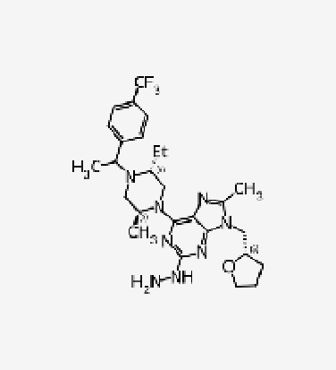 CC[C@@H]1CN(c2nc(NN)nc3c2nc(C)n3C[C@@H]2CCCO2)[C@@H](C)CN1C(C)c1ccc(C(F)(F)F)cc1